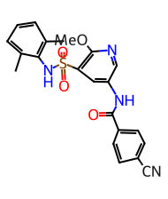 COc1ncc(NC(=O)c2ccc(C#N)cc2)cc1S(=O)(=O)Nc1c(C)cccc1C